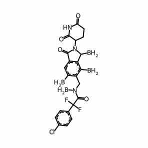 Bc1cc2c(c(B)c1CN(B)C(=O)C(F)(F)c1ccc(Cl)cc1)C(B)N(C1CCC(=O)NC1=O)C2=O